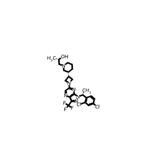 C[C@H](O)CN1CCC[C@H](C2CN(c3cnc4c(C(F)(F)F)nn([C@H](C)c5ccc(Cl)cc5Cl)c4n3)C2)C1